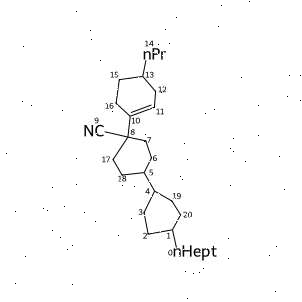 CCCCCCCC1CCC(C2CCC(C#N)(C3=CCC(CCC)CC3)CC2)CC1